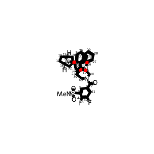 CNS(=O)(=O)c1cc(C(=O)N2CCC(CCN3[C@@H]4CC[C@H]3C[C@@H](n3c(C)nc5ccccc53)C4)(c3ccccc3)CC2)cc(F)c1F